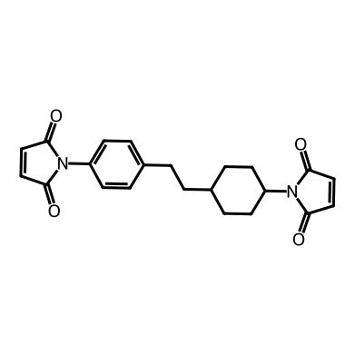 O=C1C=CC(=O)N1c1ccc(CCC2CCC(N3C(=O)C=CC3=O)CC2)cc1